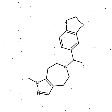 CC(c1ccc2c(c1)OCC2)N1CCc2cnn(C)c2CC1